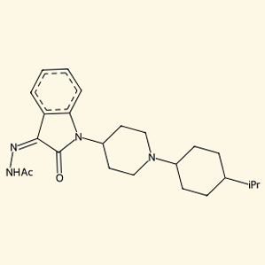 CC(=O)NN=C1C(=O)N(C2CCN(C3CCC(C(C)C)CC3)CC2)c2ccccc21